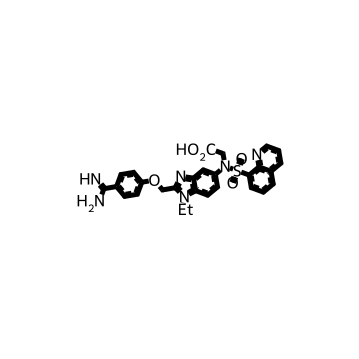 CCn1c(COc2ccc(C(=N)N)cc2)nc2cc(N(CC(=O)O)S(=O)(=O)c3cccc4cccnc34)ccc21